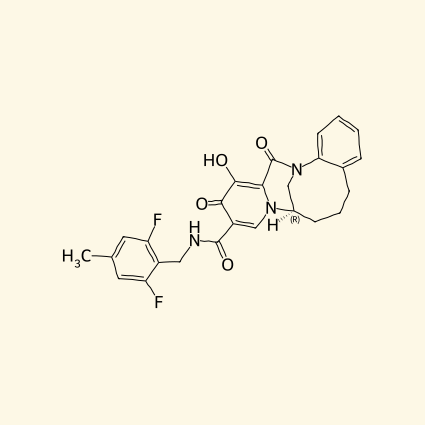 Cc1cc(F)c(CNC(=O)c2cn3c(c(O)c2=O)C(=O)N2C[C@H]3CCCc3ccccc32)c(F)c1